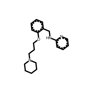 c1ccc(NCc2ccccc2OCCCN2CCCCC2)nc1